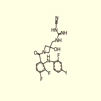 N#CNC(=N)NCC1(O)CN(C(=O)c2ccc(F)c(F)c2Nc2ccc(I)cc2F)C1